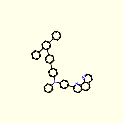 c1ccc(-c2ccc(-c3ccccc3)c(-c3ccc(-c4ccc(N(c5ccccc5)c5ccc(-c6ccc7ccc8cccnc8c7n6)cc5)cc4)cc3)c2)cc1